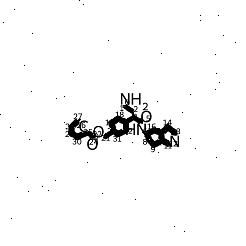 NCC[C@@H](C(=O)Nc1ccc2cnccc2c1)c1ccc(COC(=O)c2ccccc2)cc1